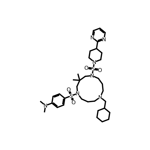 CN(C)c1ccc(S(=O)(=O)N2CCCN(CC3CCCCC3)CCCN(S(=O)(=O)N3CCC(c4ncccn4)CC3)CC(C)(C)C2)cc1